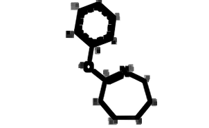 c1ccc(OC2=NCCCCC2)cc1